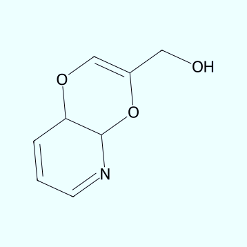 OCC1=COC2C=CC=NC2O1